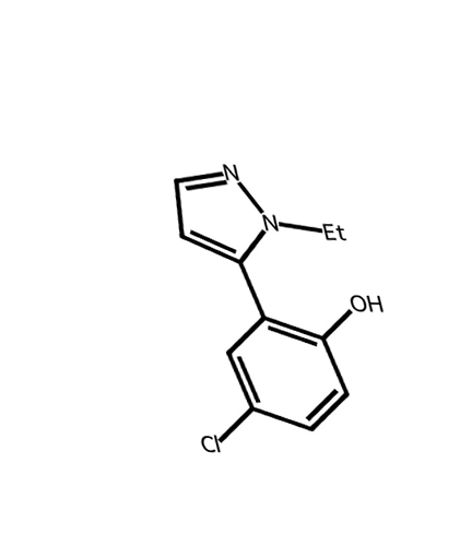 CCn1nccc1-c1cc(Cl)ccc1O